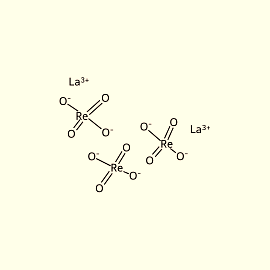 [La+3].[La+3].[O]=[Re](=[O])([O-])[O-].[O]=[Re](=[O])([O-])[O-].[O]=[Re](=[O])([O-])[O-]